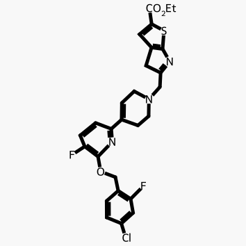 CCOC(=O)c1cc2c(s1)N=C(CN1CC=C(c3ccc(F)c(OCc4ccc(Cl)cc4F)n3)CC1)C2